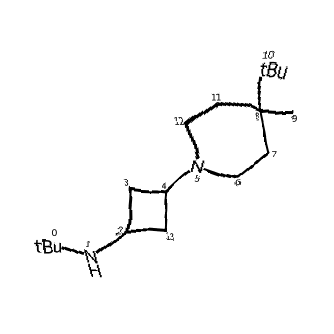 CC(C)(C)NC1CC(N2CCC(C)(C(C)(C)C)CC2)C1